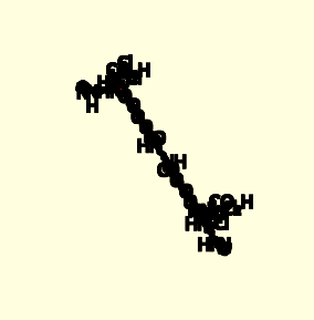 O=C(O)CC(NC(=O)[C@H](COCCOCCOCCOCCOC(=O)NCCCCNC(=O)OCCOCCOCCOCCOC[C@H](NC(=O)CCCCNc1ccccn1)C(=O)NC(CC(=O)O)c1cc(Cl)cc(Cl)c1)NC(=O)CCCCNc1ccccn1)c1cc(Cl)cc(Cl)c1